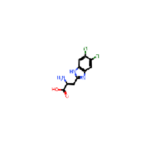 NC(Cc1nc2cc(Cl)c(Cl)cc2[nH]1)C(=O)O